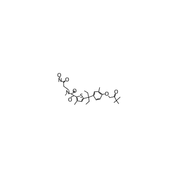 CCC(CC)(c1ccc(OCC(=O)C(C)(C)C)c(C)c1)c1cc(C)c(S(=O)(=O)N(C)CCC(=O)N=O)s1